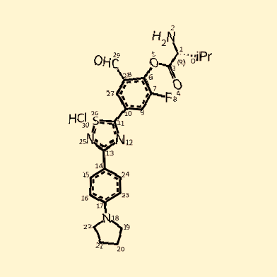 CC(C)[C@@H](N)C(=O)Oc1c(F)cc(-c2nc(-c3ccc(N4CCCC4)cc3)ns2)cc1C=O.Cl